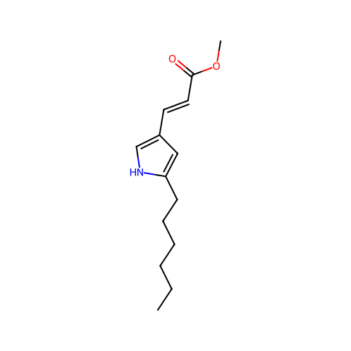 CCCCCCc1cc(C=CC(=O)OC)c[nH]1